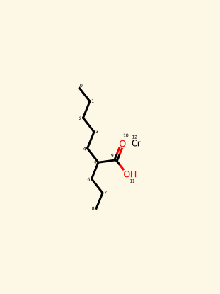 CCCCCC(CCC)C(=O)O.[Cr]